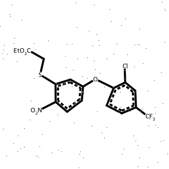 CCOC(=O)CSc1cc(Oc2ccc(C(F)(F)F)cc2Cl)ccc1[N+](=O)[O-]